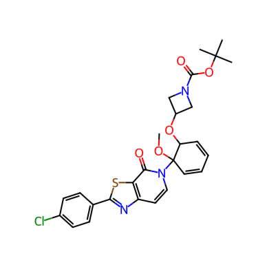 COC1(n2ccc3nc(-c4ccc(Cl)cc4)sc3c2=O)C=CC=CC1OC1CN(C(=O)OC(C)(C)C)C1